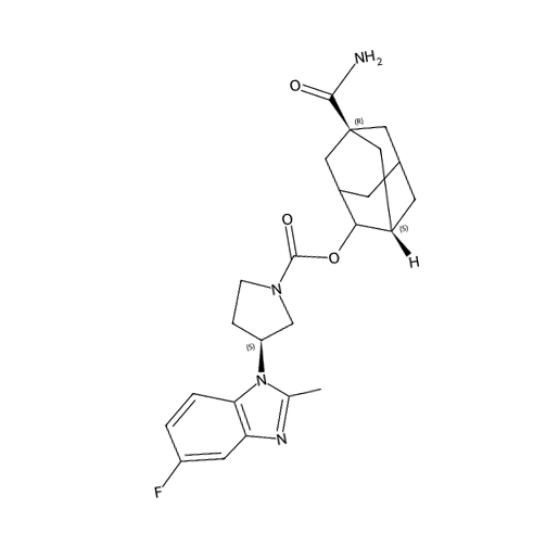 Cc1nc2cc(F)ccc2n1[C@H]1CCN(C(=O)OC2C3CC4C[C@H]2C[C@@](C(N)=O)(C4)C3)C1